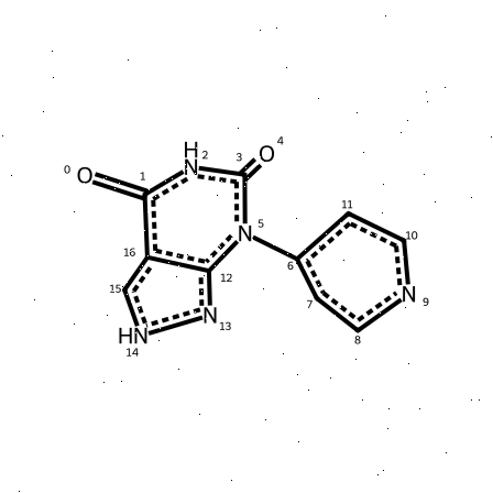 O=c1[nH]c(=O)n(-c2ccncc2)c2n[nH]cc12